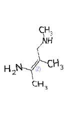 CNC/C(C)=C(/C)N